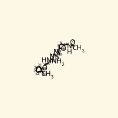 CC(=O)NCc1ccc(-c2csc(/N=C(\N)NCCOc3ccccc3C)n2)o1